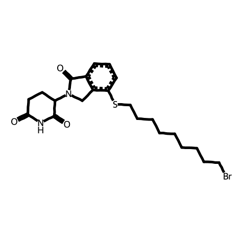 O=C1CCC(N2Cc3c(SCCCCCCCCCBr)cccc3C2=O)C(=O)N1